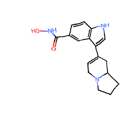 O=C(NO)c1ccc2[nH]cc(C3=CCN4CCCC4C3)c2c1